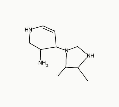 CC1NCN(C2C=CNCC2N)C1C